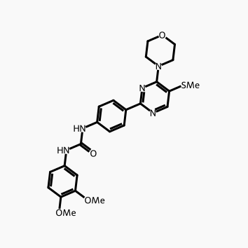 COc1ccc(NC(=O)Nc2ccc(-c3ncc(SC)c(N4CCOCC4)n3)cc2)cc1OC